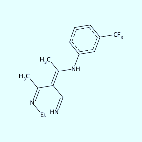 CC/N=C(C)\C(C=N)=C(/C)Nc1cccc(C(F)(F)F)c1